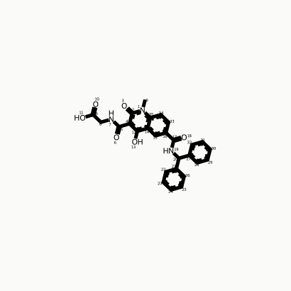 Cn1c(=O)c(C(=O)NCC(=O)O)c(O)c2cc(C(=O)NC(c3ccccc3)c3ccccc3)ccc21